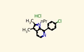 CCCn1c(C)c(C)c2ccnc(-c3ccc(Cl)cc3)c21.Cl